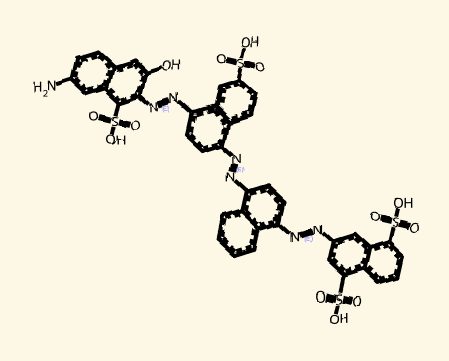 Nc1ccc2cc(O)c(/N=N/c3ccc(/N=N/c4ccc(/N=N/c5cc(S(=O)(=O)O)c6cccc(S(=O)(=O)O)c6c5)c5ccccc45)c4ccc(S(=O)(=O)O)cc34)c(S(=O)(=O)O)c2c1